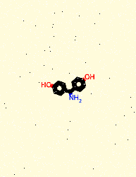 NC(c1ccc(O)cc1)c1ccc(O)cc1